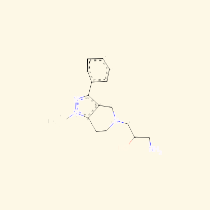 NCC(O)CN1CCc2c(c(-c3ccccc3)nn2C(=O)O)C1